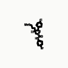 CCC1(CCCSC)CN(C(=O)Nc2ccc(Br)cc2)N=C1c1ccc(Cl)cc1